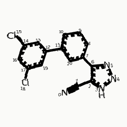 N#Cc1[nH]nnc1-c1cccc(-c2cc(Cl)cc(Cl)c2)c1